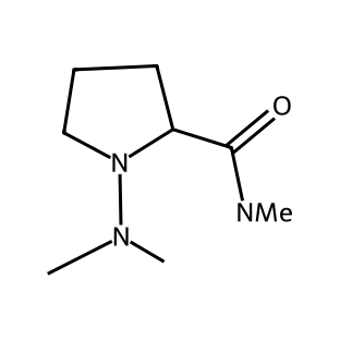 CNC(=O)C1CCCN1N(C)C